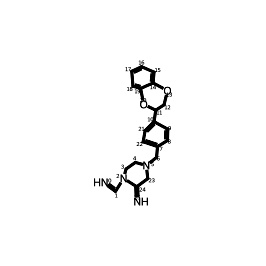 N=CN1CCN(Cc2ccc(C3COc4ccccc4O3)cc2)CC1=N